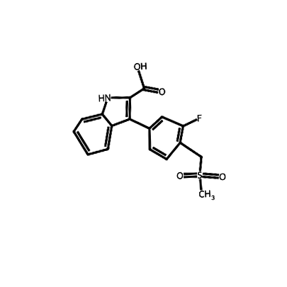 CS(=O)(=O)Cc1ccc(-c2c(C(=O)O)[nH]c3ccccc23)cc1F